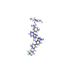 CN(C)CCNc1cc(F)cc(-c2nccc3[nH]c(-c4n[nH]c5ccc(-c6cncc(CN7CCC(F)(F)C7)c6)cc45)nc23)c1